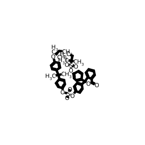 CCC(C)(C)Oc1ccc(C(C)(C)c2ccc(OS(=O)(=O)Oc3ccc(C4(c5ccc(OS(=O)(=O)C(C)(C)CC)cc5)OC(=O)c5ccccc54)cc3)cc2)cc1